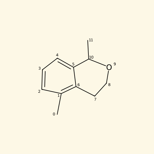 Cc1cccc2c1CCOC2C